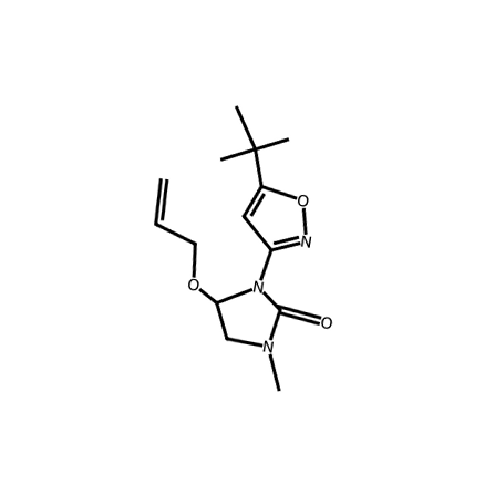 C=CCOC1CN(C)C(=O)N1c1cc(C(C)(C)C)on1